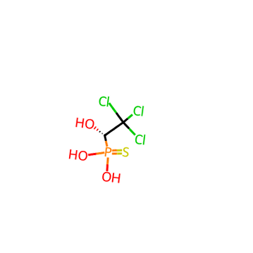 O[C@H](C(Cl)(Cl)Cl)P(O)(O)=S